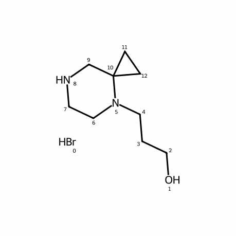 Br.OCCCN1CCNCC12CC2